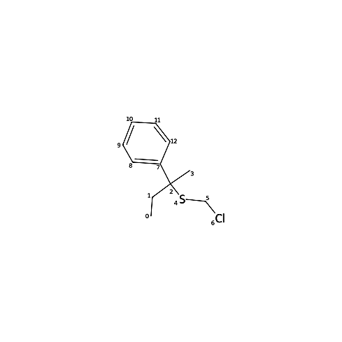 CCC(C)(SCCl)c1ccccc1